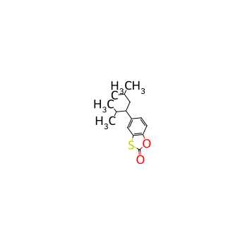 CC(C)CC(c1ccc2oc(=O)sc2c1)C(C)C